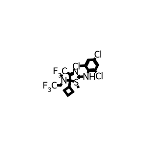 CN(CC(F)(F)F)C1(C2CCC2)C(C(F)(F)F)=NC(Nc2c(Cl)cc(Cl)cc2Cl)=S1C